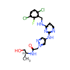 C[C@@H](CO)NC(=O)Cn1cc(Nc2nccc(NCc3c(Cl)ccc(Cl)c3F)n2)cn1